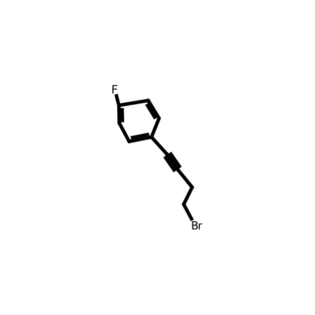 Fc1ccc(C#CCCBr)cc1